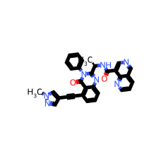 C[C@@H](NC(=O)c1cncc2cccnc12)c1nc2cccc(C#Cc3cnn(C)c3)c2c(=O)n1-c1ccccc1